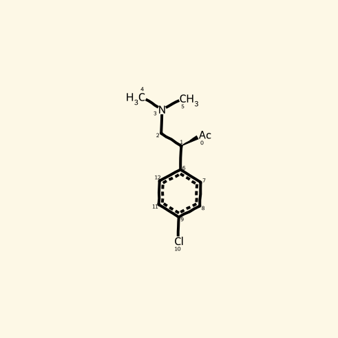 CC(=O)[C@H](CN(C)C)c1ccc(Cl)cc1